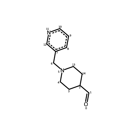 O=CC1CCN(Cc2cccnc2)CC1